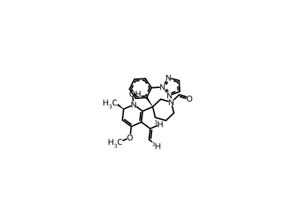 [3H]C=C([3H])C1=C([C@@]2(c3ccccc3-n3nccn3)CCCN(C=O)C2)N(O)[C@H](C)C=C1OC